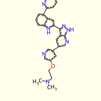 CN(C)CCOc1cncc(-c2cnc3[nH]nc(-c4cc5c(-c6ccccn6)cccc5[nH]4)c3c2)c1